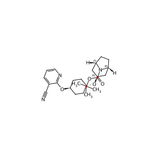 CC(C)(C)OC(=O)N1[C@@H]2CC[C@H]1C[C@H](O[C@H]1CC[C@H](Oc3ncccc3C#N)CC1)C2